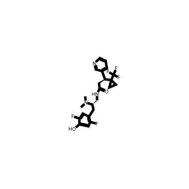 CN(C)[C@H](CNC(=O)C[C@@H](c1cccnc1)C1(C(F)(F)F)CC1)Cc1cc(F)c(O)cc1F